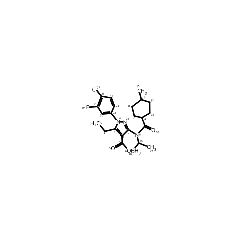 CCc1c(C(=O)O)c(N(C(=O)C2CCC(C)CC2)C(C)C)nn1-c1ccc(Cl)c(F)c1